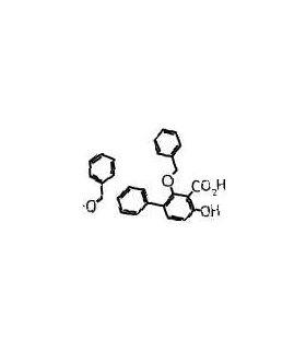 O=C(O)c1c(O)ccc(-c2ccccc2)c1OCc1ccccc1.[O]Cc1ccccc1